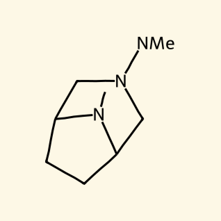 CNN1CC2CCC(C1)N2C